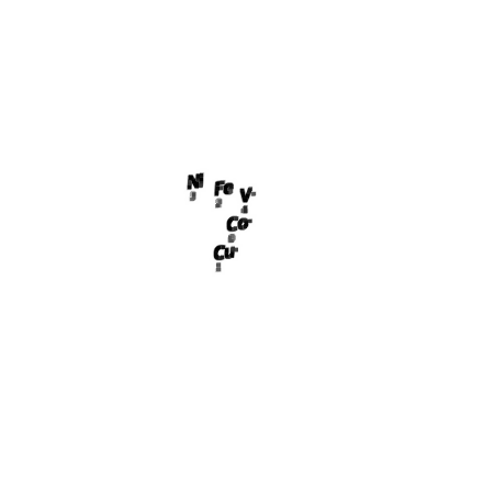 [Co].[Cu].[Fe].[Ni].[V]